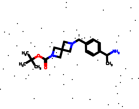 CC(N)c1ccc(CN2CC3(C2)CN(C(=O)OC(C)(C)C)C3)cc1